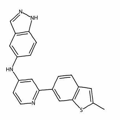 Cc1cc2ccc(-c3cc(Nc4ccc5[nH]ncc5c4)ccn3)cc2s1